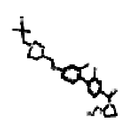 CC(C)(F)CN1CCC(COc2ccc(-c3ccc(C(=O)N4CCC[C@H]4CO)cc3F)c(F)c2)CC1